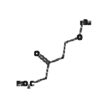 CCCCOCCC(=O)CC(=O)OCC